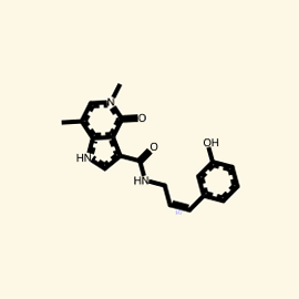 Cc1cn(C)c(=O)c2c(C(=O)NC/C=C\c3cccc(O)c3)c[nH]c12